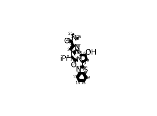 CC(C)[C@@H](C(=O)N1C[C@H](O)C[C@H]1c1nc2ccccc2s1)n1cc(C(=O)N(C)C)nn1